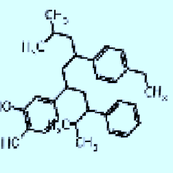 CCc1ccc(C(CC(C)C)CC(CC(c2ccccc2)C(C)C)c2ccc(O)c(O)c2)cc1